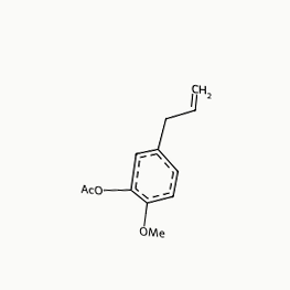 C=CCc1ccc(OC)c(OC(C)=O)c1